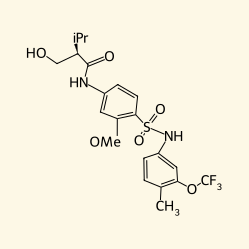 COc1cc(NC(=O)[C@@H](CO)C(C)C)ccc1S(=O)(=O)Nc1ccc(C)c(OC(F)(F)F)c1